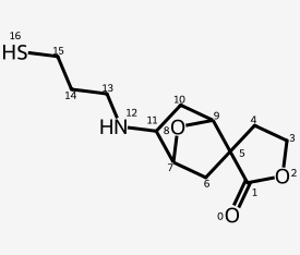 O=C1OCCC12CC1OC2CC1NCCCS